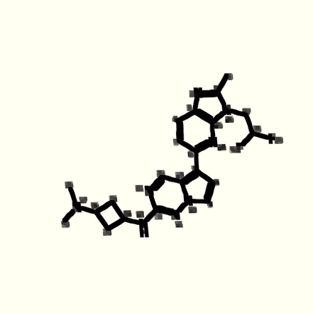 Cc1nc2ccc(-c3ccn4nc(NC5CC(N(C)C)C5)ncc34)nc2n1CC(F)F